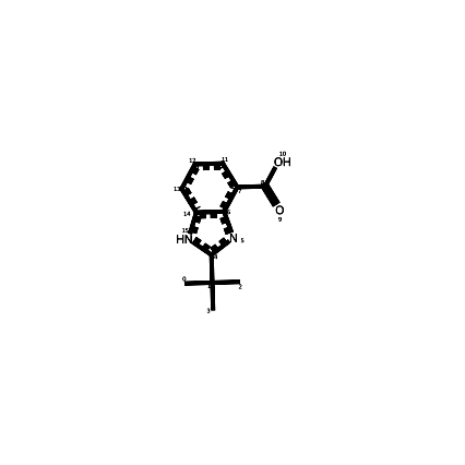 CC(C)(C)c1nc2c(C(=O)O)cccc2[nH]1